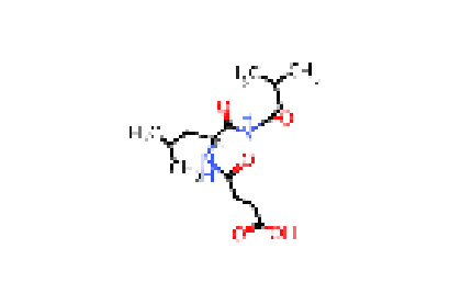 CC(C)C[C@H](NC(=O)CCC(=O)O)C(=O)NC1OC1C(C)C